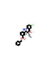 CC1(C)C(O)c2cc(Cl)ccc2NC1c1cccc(C(=O)OCc2ccccc2)c1